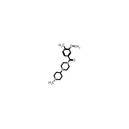 COc1cc(C(=O)N2CCN(C3CCN(C)CC3)CC2)ccc1C